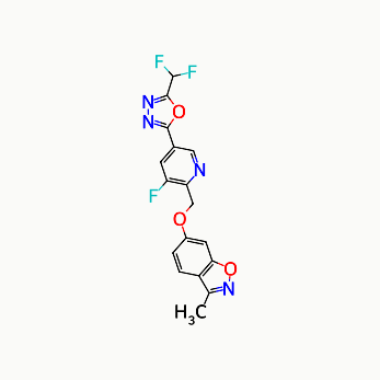 Cc1noc2cc(OCc3ncc(-c4nnc(C(F)F)o4)cc3F)ccc12